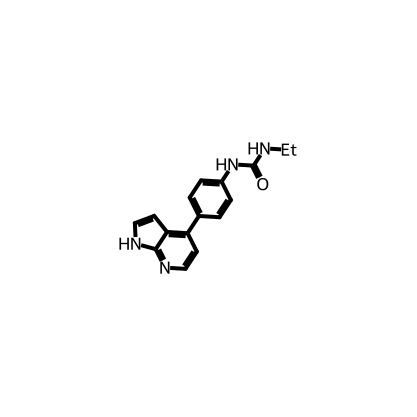 CCNC(=O)Nc1ccc(-c2ccnc3[nH]ccc23)cc1